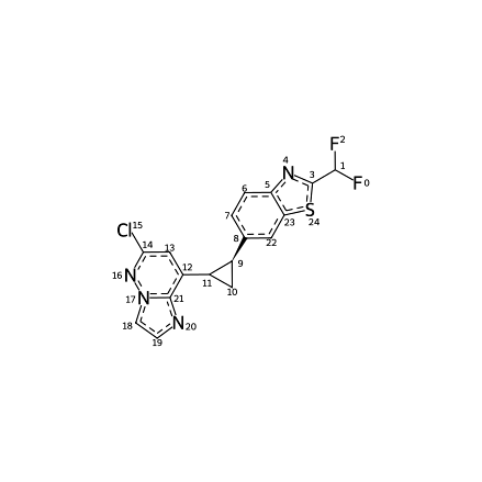 FC(F)c1nc2ccc([C@H]3CC3c3cc(Cl)nn4ccnc34)cc2s1